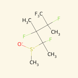 C[S+]([O-])C(C)(F)C(C)(F)C(C)(F)C(F)(F)F